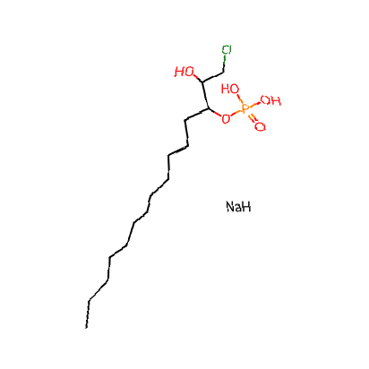 CCCCCCCCCCCCC(OP(=O)(O)O)C(O)CCl.[NaH]